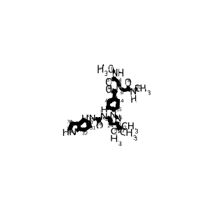 CNC(=O)CN(CC(=O)NC)C(=O)c1ccc(-n2nc(C(C)(C)C)cc2NC(=O)Nc2ccc3[nH]ccc3c2)cc1